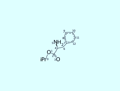 CC(C)OC(=O)[C@@H](N)Cc1c[c][c]cc1